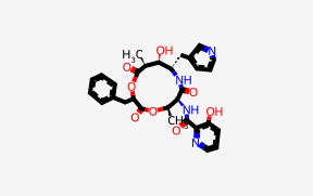 C[C@H]1OC(=O)C(Cc2ccccc2)OC(=O)[C@H](C)[C@H](O)[C@H](Cc2cccnc2)NC(=O)[C@H]1NC(=O)c1ncccc1O